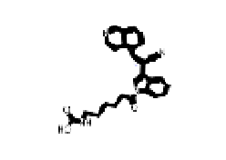 N#C/C(=C\c1cccc2cnccc12)c1cn(C(=O)CCCCCNC(=O)O)c2ccccc12